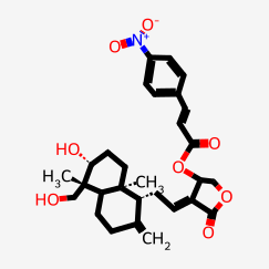 C=C1CCC2[C@](C)(CO)[C@H](O)CC[C@@]2(C)[C@@H]1C/C=C1/C(=O)OCC1OC(=O)/C=C/c1ccc([N+](=O)[O-])cc1